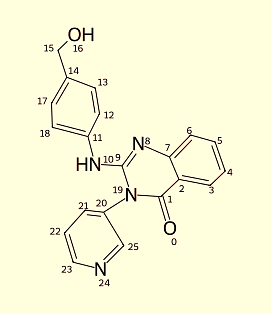 O=c1c2ccccc2nc(Nc2ccc(CO)cc2)n1-c1cccnc1